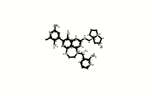 Cc1nc(N)cc(-c2nc3c4c(nc(OC[C@@]56CCCN5C[C@H](F)C6)nc4c2Cl)N([C@H](C)c2cccnc2N)CCO3)c1C(F)(F)F